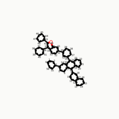 c1ccc(-c2ccc3c(-c4ccc5ccccc5c4)c4ccccc4c(-c4cccc(-c5ccc6c(-c7ccccc7)c(-c7ccccc7)oc6c5)c4)c3c2)cc1